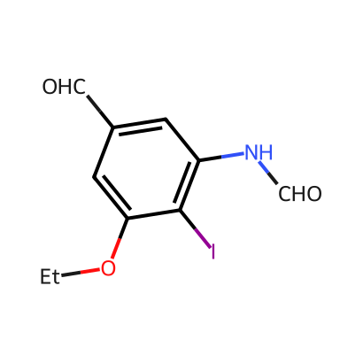 CCOc1cc(C=O)cc(NC=O)c1I